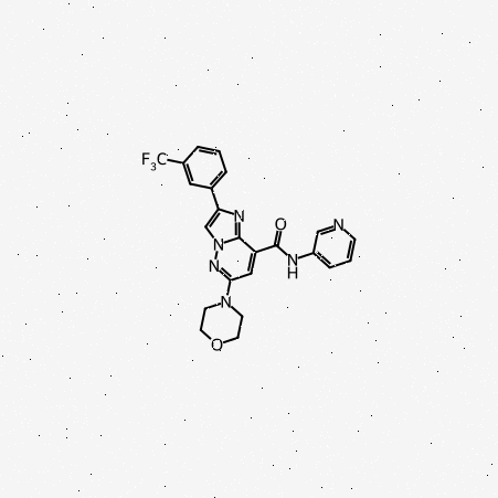 O=C(Nc1cccnc1)c1cc(N2CCOCC2)nn2cc(-c3cccc(C(F)(F)F)c3)nc12